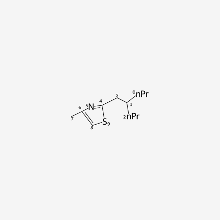 CCCC(CCC)Cc1nc(C)cs1